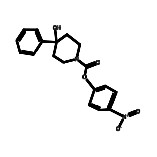 O=C(Oc1ccc([N+](=O)[O-])cc1)N1CCC(O)(c2ccccc2)CC1